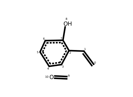 C=Cc1ccccc1O.C=O